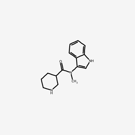 CN(C(=O)C1CCCNC1)c1c[nH]c2ccccc12